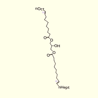 CCCCCCC/C=C/CCCCCCCCC(=O)OCC(O)COC(=O)CCCCCCC/C=C/CCCCCCCC